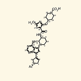 CC(=O)N1CC=C(c2cc(N3CCCC(NC(=O)c4sc(C)nc4OC4CCN(C(=O)O)CC4)C3)c3c(N)ncnn23)C1